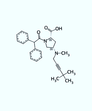 CN(CC#CC(C)(C)C)[C@H]1C[C@@H](C(=O)O)N(C(=O)C(c2ccccc2)c2ccccc2)C1